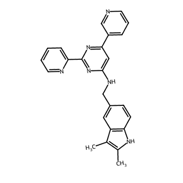 Cc1[nH]c2ccc(CNc3cc(-c4cccnc4)nc(-c4ccccn4)n3)cc2c1C